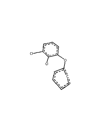 Clc1cccc(Oc2[c]cccc2)c1Cl